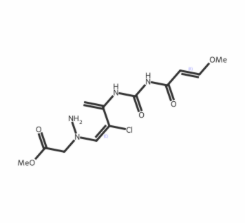 C=C(NC(=O)NC(=O)/C=C/OC)/C(Cl)=C\N(N)CC(=O)OC